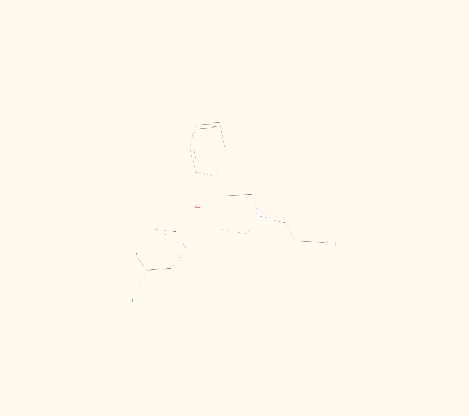 Cl.N#CCCN1CC[C@@H](Oc2ccc(F)cc2)[C@H](c2ccccc2)C1